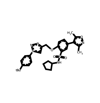 Cc1noc(C)c1-c1ccc(OCc2cn(-c3ccc(C(C)(C)C)cc3)nn2)c(S(=O)(=O)NC2CCCC2)c1